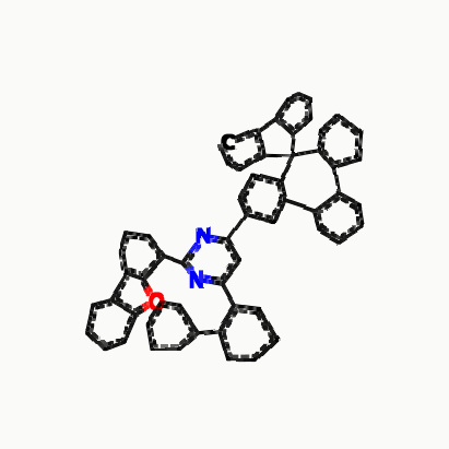 c1ccc(-c2ccccc2-c2cc(-c3ccc4c(c3)-c3ccccc3-c3ccccc3C43c4ccccc4-c4ccccc43)nc(-c3cccc4c3oc3ccccc34)n2)cc1